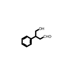 O=[C]CC(CO)c1ccccc1